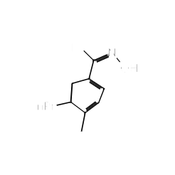 CCCC1CC(/C(CC)=N\O)=CC=C1C